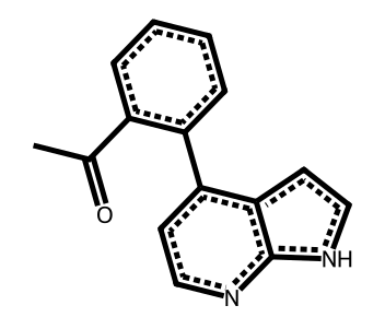 CC(=O)c1ccccc1-c1ccnc2[nH]ccc12